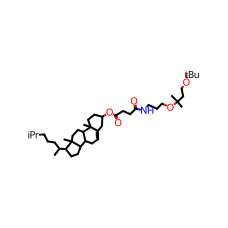 CC(C)CCCC(C)C1CCC2C3CC=C4CC(OC(=O)CCC(=O)NCCCOC(C)(C)CCOC(C)(C)C)CCC4(C)C3CCC12C